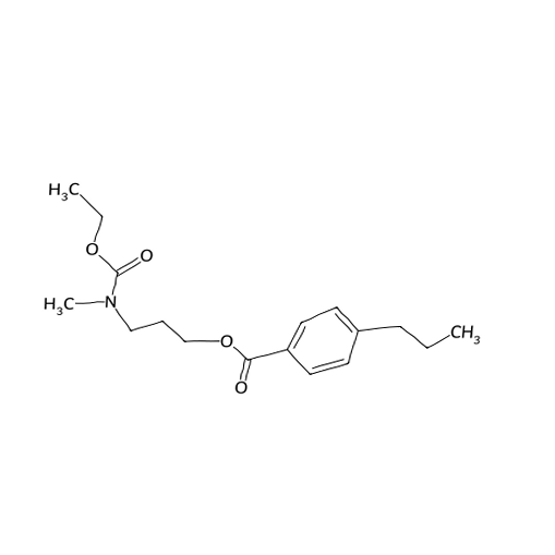 CCCc1ccc(C(=O)OCCCN(C)C(=O)OCC)cc1